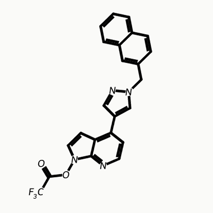 O=C(On1ccc2c(-c3cnn(Cc4ccc5ccccc5c4)c3)ccnc21)C(F)(F)F